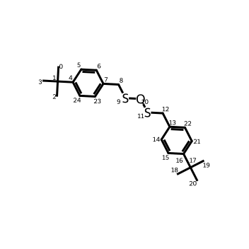 CC(C)(C)c1ccc(CSOSCc2ccc(C(C)(C)C)cc2)cc1